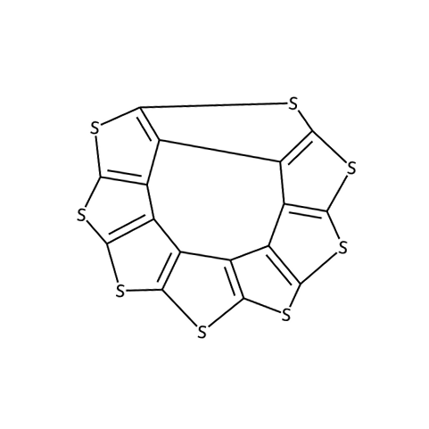 s1c2sc3sc4sc5sc6sc7sc8sc1c1c2c3c4c5c6c7c81